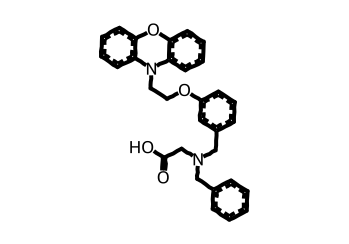 O=C(O)CN(Cc1ccccc1)Cc1cccc(OCCN2c3ccccc3Oc3ccccc32)c1